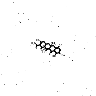 CC(=O)c1cc(C(C)(C)C)c(O)c2c1C[C@@]1(N)CC3CC(O)=C(C(N)=O)C(=O)[C@@]3(N=O)C(O)=C1C2=O